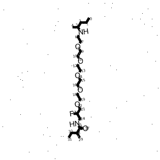 CCCC(C)NCCOCCOCCOCCOCCOCC(F)CNC(=O)C(C)CC